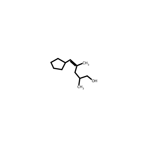 CC(=CC1CCCC1)CC(C)CO